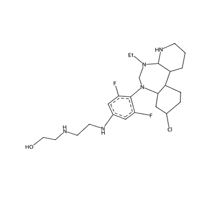 CCN1CN(c2c(F)cc(NCCNCCO)cc2F)C2CC(Cl)CCC2C2CCCNC21